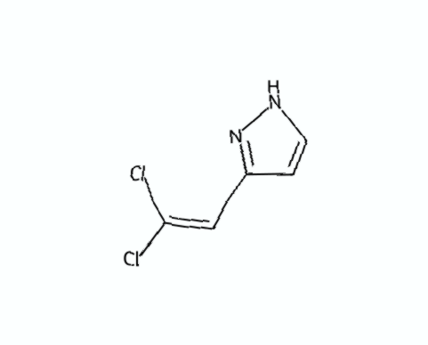 ClC(Cl)=Cc1cc[nH]n1